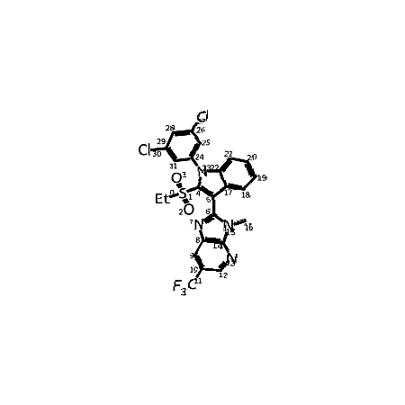 CCS(=O)(=O)c1c(-c2nc3cc(C(F)(F)F)cnc3n2C)c2ccccc2n1-c1cc(Cl)cc(Cl)c1